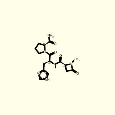 CN1C(=O)C[C@H]1C(=O)N[C@@H](Cc1c[nH]cn1)C(=O)N1CCC[C@H]1C(N)=O